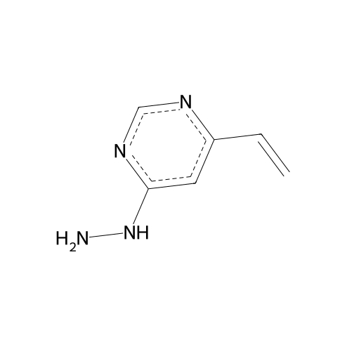 C=Cc1cc(NN)ncn1